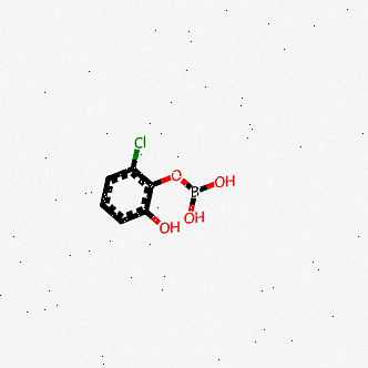 OB(O)Oc1c(O)cccc1Cl